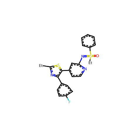 CCc1nc(-c2ccc(F)cc2)c(-c2ccnc(N=S(=O)(CC)c3ccccc3)c2)s1